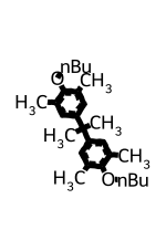 CCCCOc1c(C)cc(C(C)(C)c2cc(C)c(OCCCC)c(C)c2)cc1C